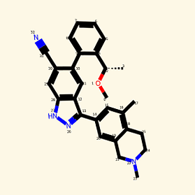 CO[C@@H](C)c1ccccc1-c1cc2c(-c3cc(C)c4c(c3)CN(C)CC4)n[nH]c2cc1C#N